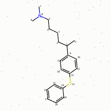 CC(CCCCN(C)C)c1ccc(Sc2ccccc2)cc1